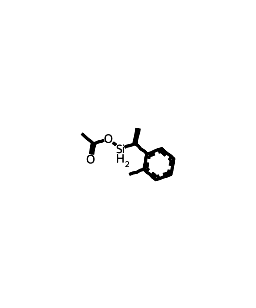 C=C([SiH2]OC(C)=O)c1ccccc1C